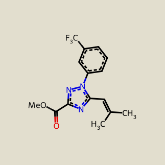 COC(=O)c1nc(C=C(C)C)n(-c2cccc(C(F)(F)F)c2)n1